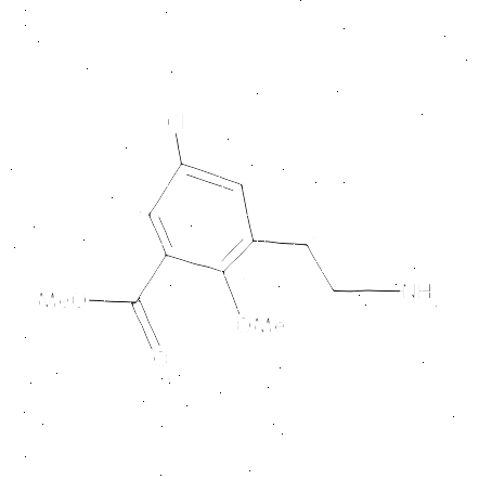 COC(=O)c1cc(Cl)cc(CCN)c1OC